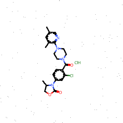 Cc1cnc(N2CCN(C(=O)c3ccc(N4C(=O)OCC4C)cc3Cl)CC2)c(C)c1.Cl